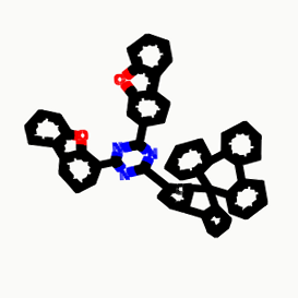 c1ccc2c(c1)-c1ccccc1C1(c3ccccc3-2)c2ccccc2-c2ccc(-c3nc(-c4ccc5c(c4)oc4ccccc45)nc(-c4cccc5c4oc4ccccc45)n3)cc21